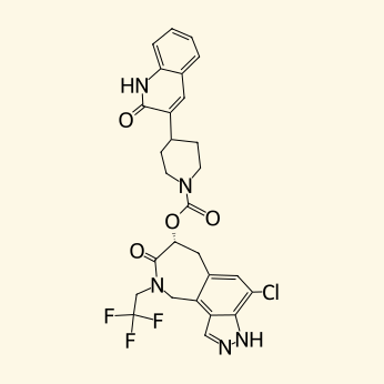 O=C(O[C@@H]1Cc2cc(Cl)c3[nH]ncc3c2CN(CC(F)(F)F)C1=O)N1CCC(c2cc3ccccc3[nH]c2=O)CC1